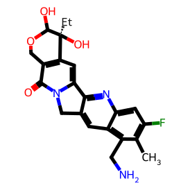 CC[C@]1(O)c2cc3n(c(=O)c2COC1O)Cc1cc2c(CN)c(C)c(F)cc2nc1-3